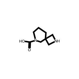 O=C(O)N1CCCC2(CNC2)C1